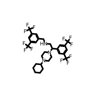 FC(F)(F)c1cc(CNCC(c2cc(C(F)(F)F)cc(C(F)(F)F)c2)N2CCN(C3CCCCC3)CC2)cc(C(F)(F)F)c1